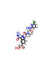 CC(C)N(CC(=O)Nc1cccc(Br)n1)C(=O)Cn1nc(C(N)=O)c2cc(C(=O)CO)ccc21